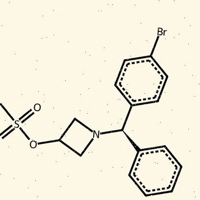 CS(=O)(=O)OC1CN([C@H](c2ccccc2)c2ccc(Br)cc2)C1